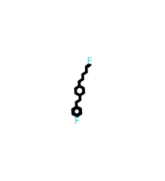 F/C=C/CCCCC1CCC(CCc2ccc(F)cc2)CC1